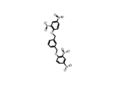 O=[N+]([O-])c1ccc(OCc2cccc(COc3ccc([N+](=O)[O-])cc3[N+](=O)[O-])c2)c([N+](=O)[O-])c1